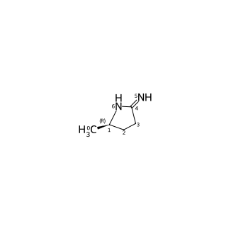 C[C@@H]1CCC(=N)N1